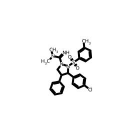 Cc1cccc(S(=O)(=O)N2C(c3ccc(Cl)cc3)C(c3ccccc3)CN2C(=N)N(C)C)c1